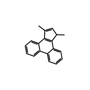 CC1=CC(C)c2c1c1ccccc1c1ccccc21